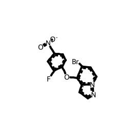 O=[N+]([O-])c1ccc(Oc2c(Br)ccn3nccc23)c(F)c1